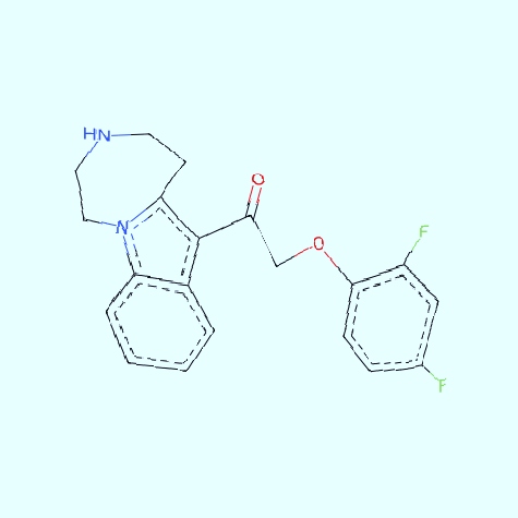 O=C(COc1ccc(F)cc1F)c1c2n(c3ccccc13)CCNCC2